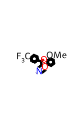 COc1ccccc1OC(c1ccc(C(F)(F)F)cc1)C1CN(C)CCO1